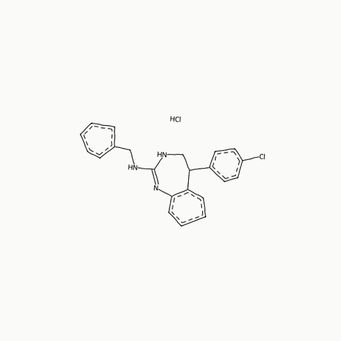 Cl.Clc1ccc(C2CNC(NCc3ccccc3)=Nc3ccccc32)cc1